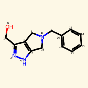 OCc1n[nH]c2c1CN(Cc1ccccc1)C2